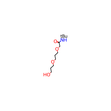 CC(C)(C)NC(=O)COCCCOCCCO